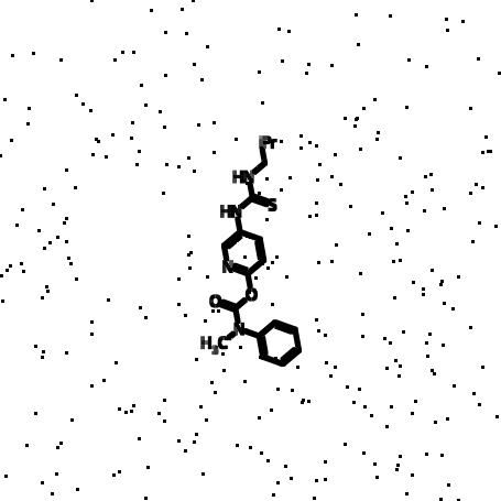 CC(C)CNC(=S)Nc1ccc(OC(=O)N(C)c2ccccc2)nc1